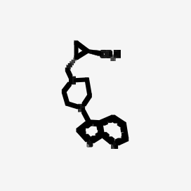 O=C(O)[C@@H]1C[C@H]1CN1CCN(c2csc3ncccc23)CC1